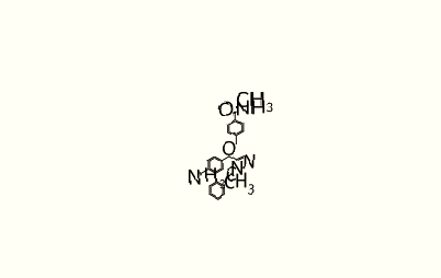 CNC(=O)c1ccc(COC(c2ccc(C#N)c(-c3ccccc3C)c2)c2cncn2C)cc1